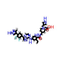 CCc1cc(Nc2nccn3c(-c4ccc(-c5c[nH]nc5C)c(F)c4F)cnc23)ccc1C(=O)NCC1CC[N+](CC(=O)O)(CC2CNC2)CC1